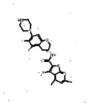 Cc1cc(C)c2c(N)c(C(=O)N[C@H]3COc4cc(N5CCNCC5)c(F)c(F)c4C3)sc2n1